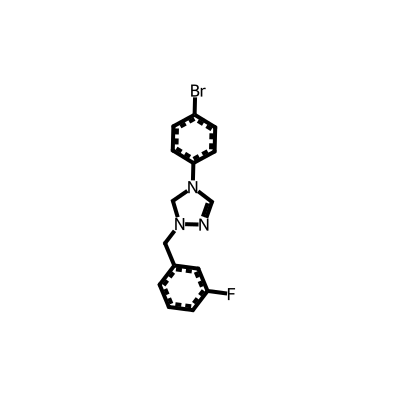 Fc1cccc(CN2CN(c3ccc(Br)cc3)C=N2)c1